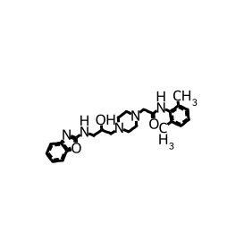 Cc1cccc(C)c1NC(=O)CN1CCN(CC(O)CNc2nc3ccccc3o2)CC1